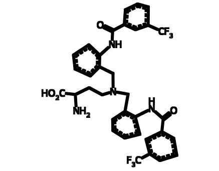 NC(CCN(Cc1ccccc1NC(=O)c1cccc(C(F)(F)F)c1)Cc1ccccc1NC(=O)c1cccc(C(F)(F)F)c1)C(=O)O